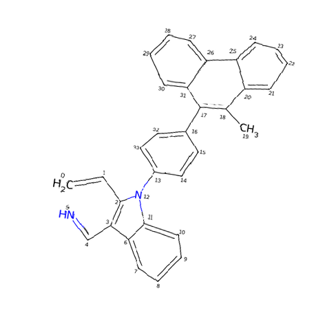 C=Cc1c(C=N)c2ccccc2n1-c1ccc(-c2c(C)c3ccccc3c3ccccc23)cc1